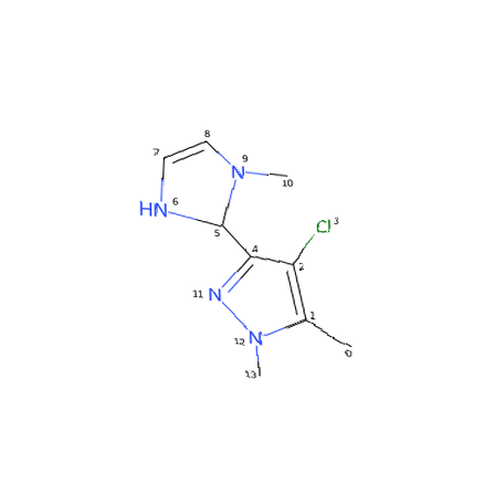 Cc1c(Cl)c(C2NC=CN2C)nn1C